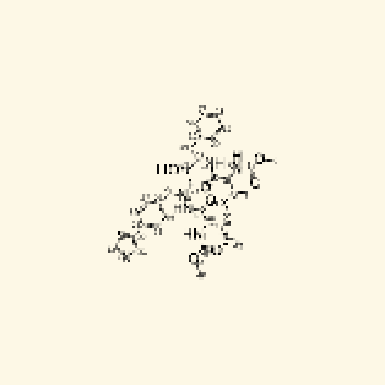 CC[C@H](C)[C@H](NC(=O)OC)C(=O)N[C@@H](Cc1ccccc1)[C@@H](O)CN(Cc1ccc(-c2cncs2)cc1)NC(=O)[C@H](CSC)NC(=O)OC